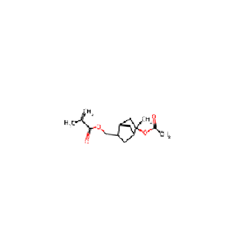 C=C(C)C(=O)OCC1CC2CC1CC2(C)OC(C)=O